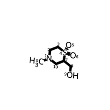 CN1CCS(=O)(=O)C(CO)C1